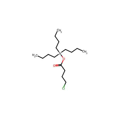 CCCC[Si](CCCC)(CCCC)OC(=O)CCCCl